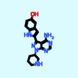 Nc1ncnc2c1c(-c1cc3cc(O)ccc3[nH]1)nn2[C@@H]1CCCNC1